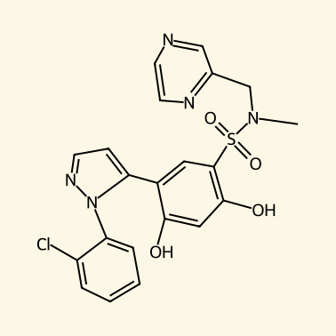 CN(Cc1cnccn1)S(=O)(=O)c1cc(-c2ccnn2-c2ccccc2Cl)c(O)cc1O